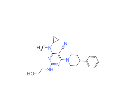 CN(c1nc(NCCO)nc(N2CCC(c3ccccc3)CC2)c1C#N)C1CC1